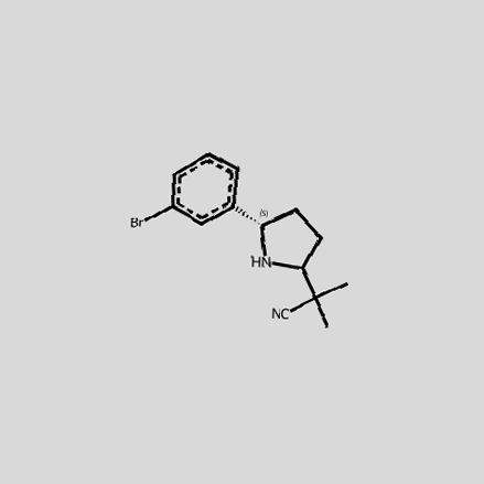 CC(C)(C#N)C1CC[C@@H](c2cccc(Br)c2)N1